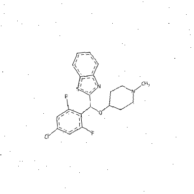 CN1CCC(OC(c2nc3ccccc3s2)c2c(F)cc(Cl)cc2F)CC1